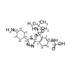 CC(C)(C)NS(=O)(=O)c1cc(NC(=O)O)ccc1-c1nnc(C2CCC(N)CC2)s1